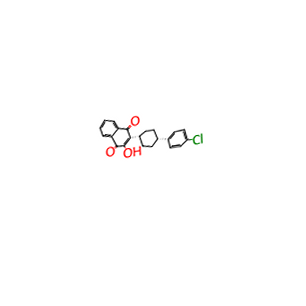 O=C1C(O)=C([C@H]2CC[C@@H](c3ccc(Cl)cc3)CC2)C(=O)c2ccccc21